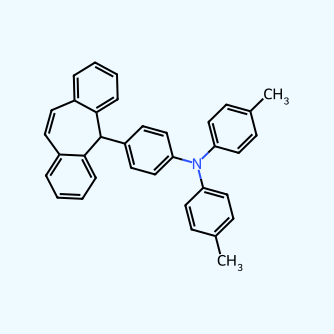 Cc1ccc(N(c2ccc(C)cc2)c2ccc(C3c4ccccc4C=Cc4ccccc43)cc2)cc1